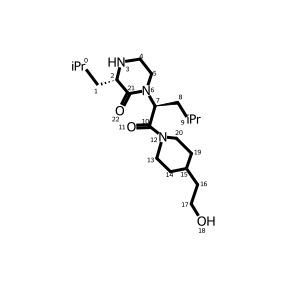 CC(C)C[C@@H]1NCCN([C@@H](CC(C)C)C(=O)N2CCC(CCO)CC2)C1=O